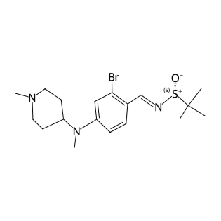 CN1CCC(N(C)c2ccc(C=N[S@+]([O-])C(C)(C)C)c(Br)c2)CC1